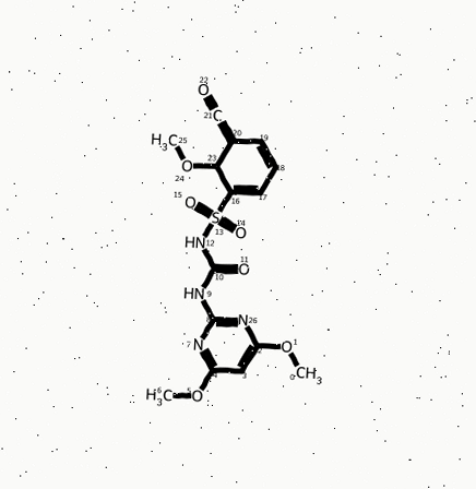 COc1cc(OC)nc(NC(=O)NS(=O)(=O)C2=CC=CC(=C=O)C2OC)n1